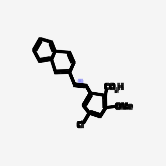 COc1cc(Cl)cc(/C=C/c2ccc3ccccc3c2)c1C(=O)O